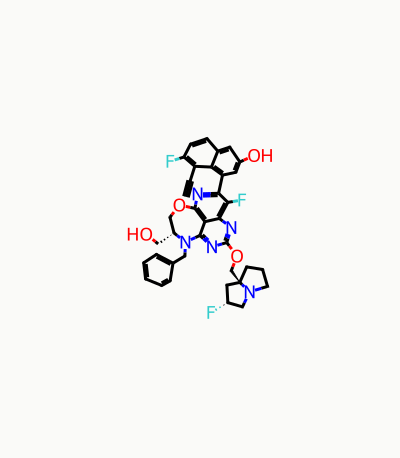 C#Cc1c(F)ccc2cc(O)cc(-c3nc4c5c(nc(OC[C@@]67CCCN6C[C@H](F)C7)nc5c3F)N(Cc3ccccc3)[C@H](CO)CO4)c12